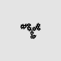 c1cc(-c2cccc3oc4c5ccccc5ccc4c23)cc(N(c2ccc(-c3cccc4ccccc34)cc2)c2ccc(-c3cc4ccccc4c4ccccc34)cc2)c1